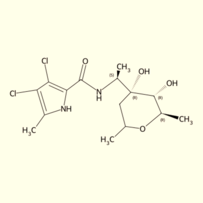 Cc1[nH]c(C(=O)N[C@@H](C)[C@]2(O)CC(C)O[C@H](C)[C@H]2O)c(Cl)c1Cl